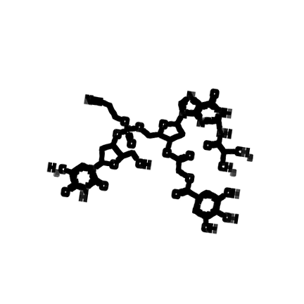 Cc1cn(C2CC(OP(=O)(OCCC#N)OCC3OC(n4cnc5c(=O)[nH]c(NC(=O)C(C)C)nc54)CC3OC(=O)COC(=O)c3cc(O)c(O)c(O)c3)C(CO)O2)c(=O)[nH]c1=O